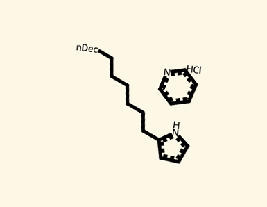 CCCCCCCCCCCCCCCCc1ccc[nH]1.Cl.c1ccncc1